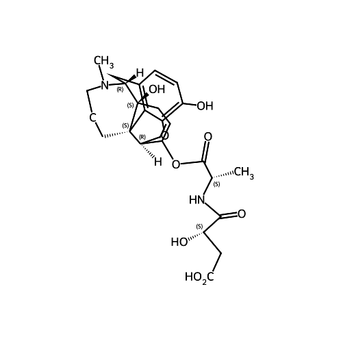 C[C@H](NC(=O)[C@@H](O)CC(=O)O)C(=O)OC1=CC[C@@]2(O)[C@H]3Cc4ccc(O)c5c4[C@@]2(CCCN3C)[C@H]1O5